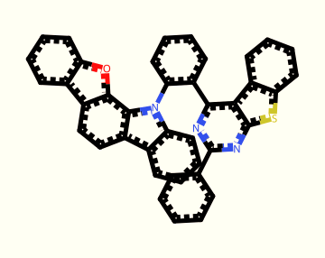 c1ccc(-c2nc(-c3ccccc3-n3c4ccccc4c4ccc5c6ccccc6oc5c43)c3c(n2)sc2ccccc23)cc1